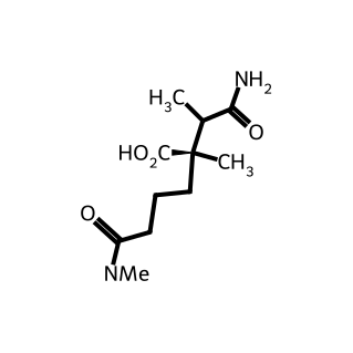 CNC(=O)CCC[C@](C)(C(=O)O)C(C)C(N)=O